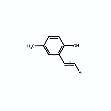 CC(=O)/C=C/c1cc(C)ccc1O